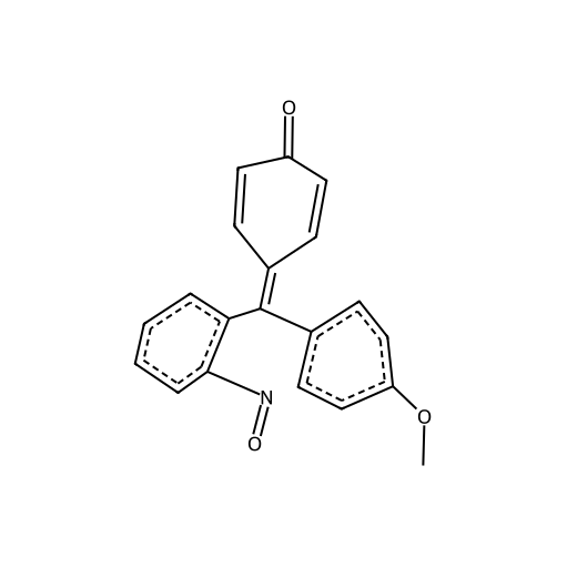 COc1ccc(C(=C2C=CC(=O)C=C2)c2ccccc2N=O)cc1